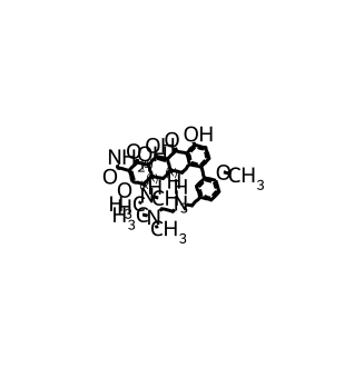 COc1ccc(CNCCN(C)C)cc1-c1ccc(O)c2c1C[C@H]1C[C@@H]3[C@@H](N(C)C)C(O)=C(C(N)=O)C(=O)[C@@]3(O)C(O)=C1C2=O